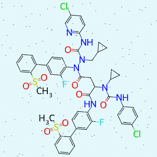 CS(=O)(=O)c1ccccc1-c1ccc(NC(=O)C(CC(=O)N(c2ccc(-c3ccccc3S(C)(=O)=O)cc2F)N(CC2CC2)C(=O)Nc2ccc(Cl)cn2)N(C(=O)Nc2ccc(Cl)cc2)C2CC2)c(F)c1